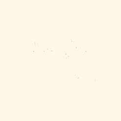 CC[C@H](N)CN(C)c1ccnc(-c2cc(Cl)ccc2O)n1